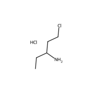 CCC(N)CCCl.Cl